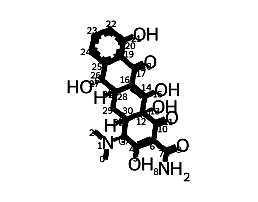 CN(C)[C@@H]1C(O)=C(C(N)=O)C(=O)[C@@]2(O)C(O)=C3C(=O)c4c(O)cccc4[C@@H](O)[C@H]3C[C@@H]12